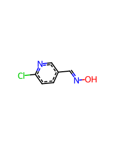 ON=Cc1ccc(Cl)nc1